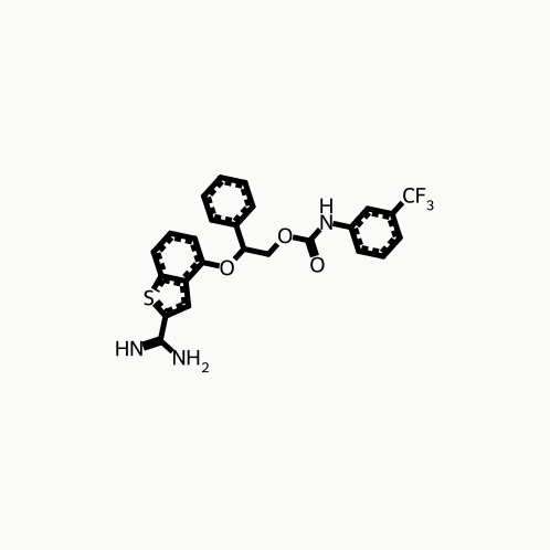 N=C(N)c1cc2c(OC(COC(=O)Nc3cccc(C(F)(F)F)c3)c3ccccc3)cccc2s1